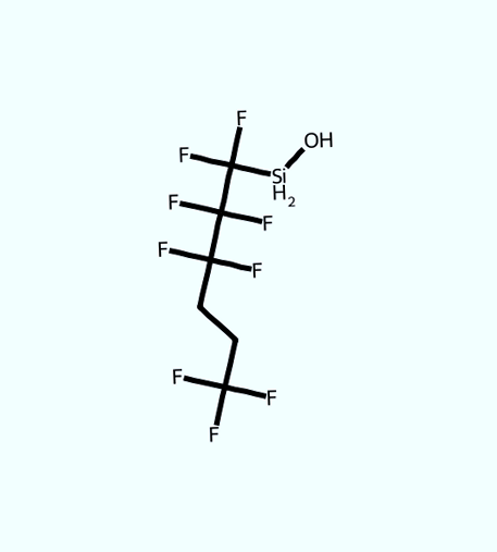 O[SiH2]C(F)(F)C(F)(F)C(F)(F)CCC(F)(F)F